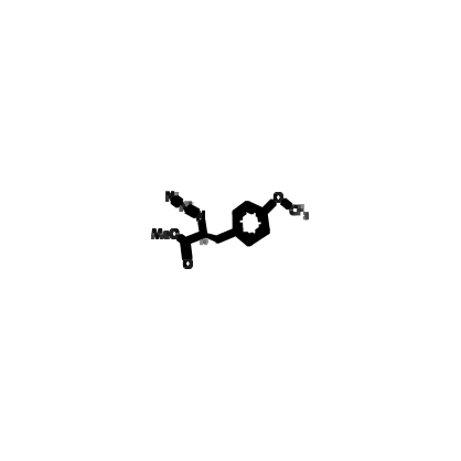 COC(=O)[C@H](Cc1ccc(OC(F)(F)F)cc1)N=[N+]=[N-]